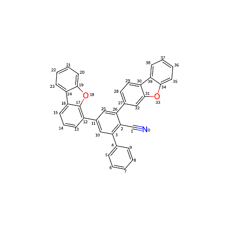 N#Cc1c(-c2ccccc2)cc(-c2cccc3c2oc2ccccc23)cc1-c1ccc2c(c1)oc1ccccc12